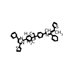 C=C(/N=C(\C=C(/C)c1cccs1)C1=CCCC=C1)c1ccc(C(CC)(CC)c2ccc(-c3nc(-c4ccccc4)cc(-c4cccs4)n3)cc2)cc1